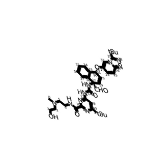 CN(CCO)CCNC(=O)c1nc(NC(=O)N[C@@]2(C=O)C=C[C@@H](Oc3ccc4nnc(C(C)(C)C)n4c3)c3ccccc32)cc(C(C)(C)C)n1